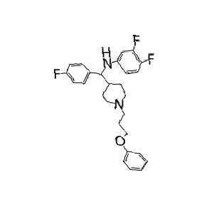 Fc1ccc(C(Nc2ccc(F)c(F)c2)C2CCN(CCCOc3ccccc3)CC2)cc1